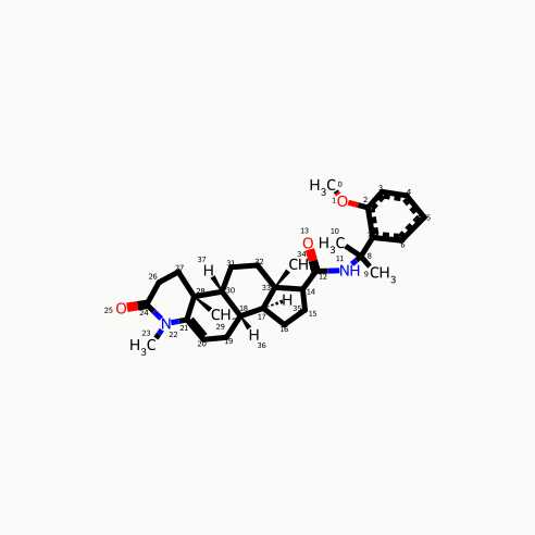 COc1ccccc1C(C)(C)NC(=O)C1CC[C@H]2[C@@H]3CC=C4N(C)C(=O)CC[C@]4(C)[C@@H]3CC[C@]12C